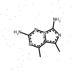 Cc1nc(N)nn2c(N)nc(C)c12